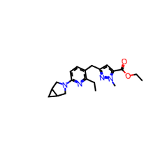 CCOC(=O)c1cc(Cc2ccc(N3CC4CC4C3)nc2CC)nn1C